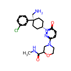 CNC(=O)C1CN(c2ccc(=O)n([C@H]3CC[C@](CN)(c4cccc(Cl)c4)CC3)n2)CCO1